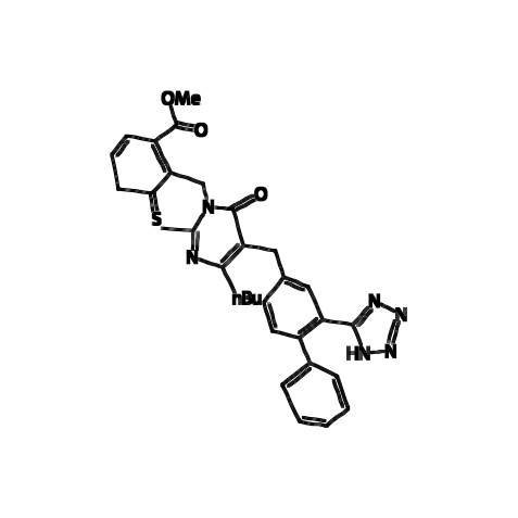 CCCCc1nc(C)n(CC2=C(C(=O)OC)C=CCC2=S)c(=O)c1Cc1ccc(-c2ccccc2)c(-c2nnn[nH]2)c1